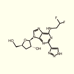 OC[C@@H]1C[C@@H](O)[C@H](n2cnc3c(NCC(F)F)nc(-c4c[nH]nn4)nc32)O1